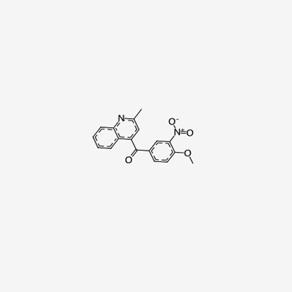 COc1ccc(C(=O)c2cc(C)nc3ccccc23)cc1[N+](=O)[O-]